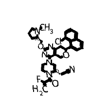 C=C(F)C(=O)N1CCN(c2nc(OC[C@H]3CCCN3C)nc3c2COC(c2cccc4cccc(Cl)c24)C3)C[C@@H]1CC#N